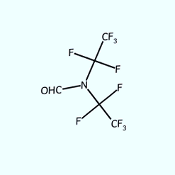 O=CN(C(F)(F)C(F)(F)F)C(F)(F)C(F)(F)F